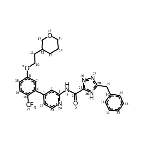 O=C(Nc1cc(-c2cc(OCCC3CCCOC3)ccc2C(F)(F)F)ccn1)c1nnc(Cc2ccccc2)[nH]1